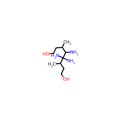 CC(CCO)C(N)C(N)(N)C(C)CCO